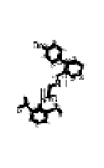 CC(C)c1cccc(C(C)C)c1NC(=O)CNCc1ccccc1-c1ccc(Br)cc1